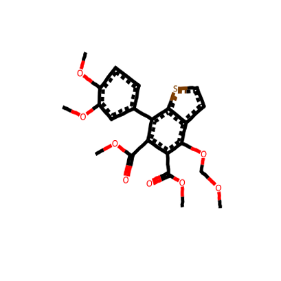 COCOc1c(C(=O)OC)c(C(=O)OC)c(-c2ccc(OC)c(OC)c2)c2sccc12